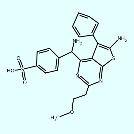 COCCc1nc(C(N)c2ccc(S(=O)(=O)O)cc2)c2c(-c3ccccc3)c(N)sc2n1